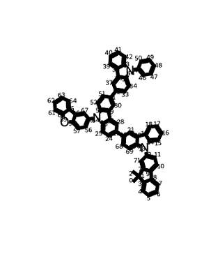 CC1(C)c2ccccc2-c2ccc(-n3c4ccccc4c4cc(-c5ccc6c(c5)c5cc(-c7ccc8c(c7)c7ccccc7n8-c7ccccc7)ccc5n6-c5ccc6oc7ccccc7c6c5)ccc43)cc21